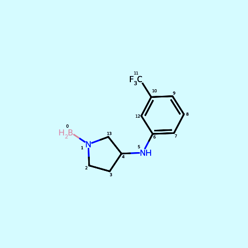 BN1CCC(Nc2cccc(C(F)(F)F)c2)C1